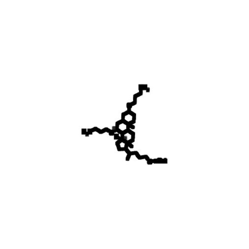 CCCCCCCCOCCCC(C)C1CC[C@H]2C3C(CCC12C)C1(C)CCC(OCCCN)CC1C[C@H]3OCCCN